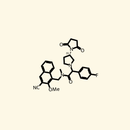 COc1c(C#N)cc2ccccc2c1CN(C)C(=O)C(c1ccc(F)cc1)N1CC[C@H](N2C(=O)CCC2=O)C1